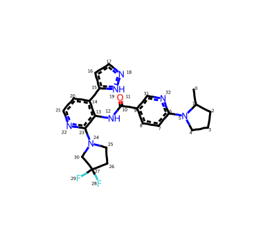 CC1CCCN1c1ccc(C(=O)Nc2c(-c3ccn[nH]3)ccnc2N2CCC(F)(F)C2)cn1